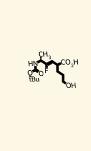 C[C@H](NC(=O)OC(C)(C)C)C(F)=CC(CCCO)C(=O)O